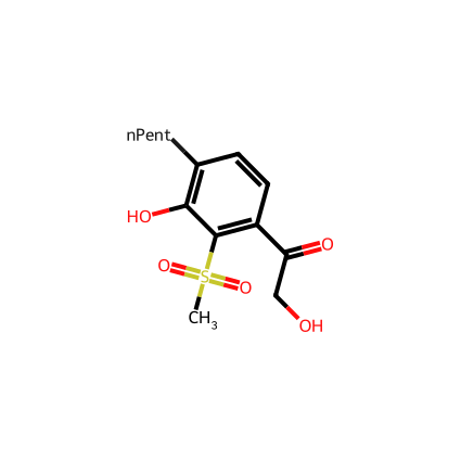 CCCCCc1ccc(C(=O)CO)c(S(C)(=O)=O)c1O